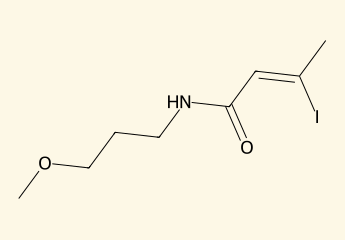 COCCCNC(=O)/C=C(/C)I